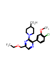 O=C(O)C1CCN(c2nc(COCC(F)(F)F)cnc2-c2ccc(Cl)c(OC(F)(F)F)c2)CC1